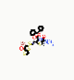 N[C@@H]1C(=O)N2C(C(=O)OC(c3ccccc3)c3ccccc3)=C(/C=C/Sc3sc4ccsc4c(=O)c3Br)CS[C@H]12